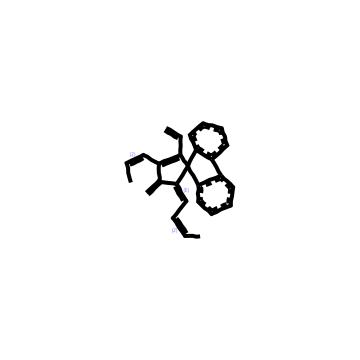 C=CC1=C(/C=C\C)C(=C)/C(=C\C=C/C)C12c1ccccc1-c1ccccc12